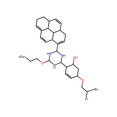 CCCCCCCCCCCCOC1NC(C2=CCC3C=CC4CCC=C5C=CC2C3C54)NC(C2C=CC(OCC(CC)CCCC)CC2O)N1